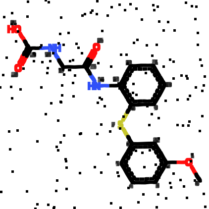 COc1cccc(Sc2ccccc2NC(=O)CNC(=O)O)c1